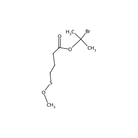 COSCCCC(=O)OC(C)(C)Br